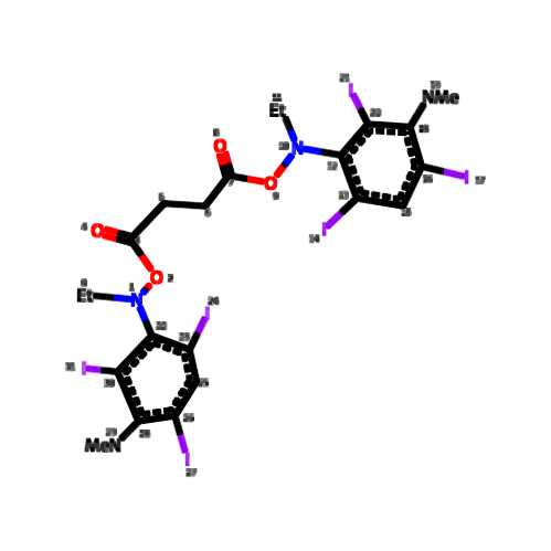 CCN(OC(=O)CCC(=O)ON(CC)c1c(I)cc(I)c(NC)c1I)c1c(I)cc(I)c(NC)c1I